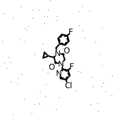 O=C1C(C2CC2)N(Cc2ccc(F)cc2)C(=O)CN1c1ncc(Cl)cc1F